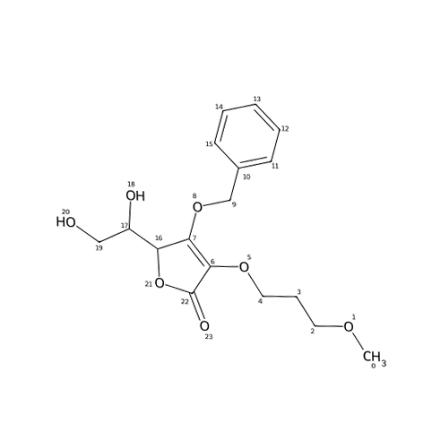 COCCCOC1=C(OCc2ccccc2)C(C(O)CO)OC1=O